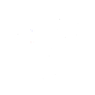 OCC(CC1CCCCC1)c1ccccc1.c1cscn1